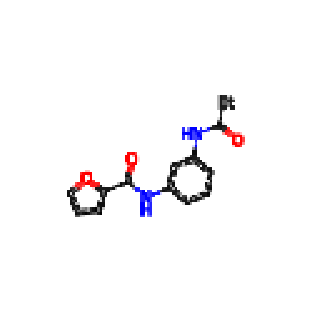 CCC(=O)Nc1cccc(NC(=O)c2ccco2)c1